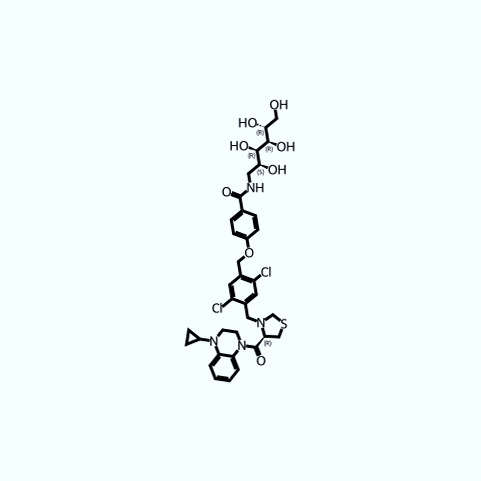 O=C(NC[C@H](O)[C@@H](O)[C@H](O)[C@H](O)CO)c1ccc(OCc2cc(Cl)c(CN3CSC[C@H]3C(=O)N3CCN(C4CC4)c4ccccc43)cc2Cl)cc1